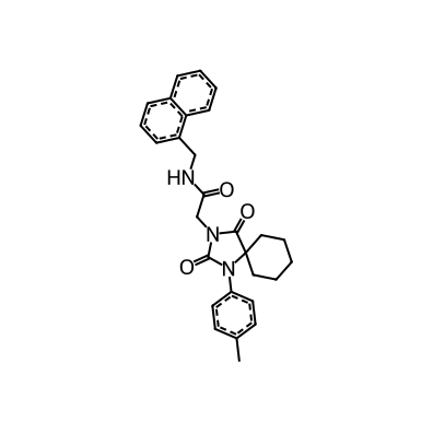 Cc1ccc(N2C(=O)N(CC(=O)NCc3cccc4ccccc34)C(=O)C23CCCCC3)cc1